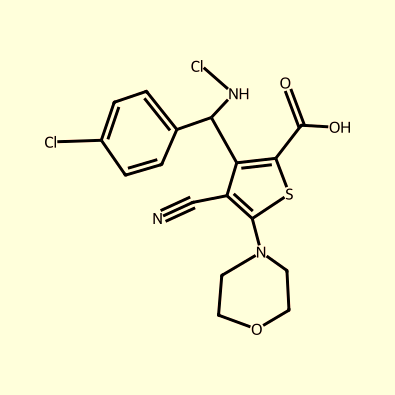 N#Cc1c(N2CCOCC2)sc(C(=O)O)c1C(NCl)c1ccc(Cl)cc1